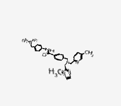 CCCN(CCC)Cc1ccc(NC(=O)c2ccc(CN(Cc3ccc(C)cn3)Cc3nccn3C)cc2)cc1